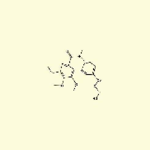 COc1cc(C(=O)N(C)c2cc[c]([Ge][O]OO)cc2)cc(OC)c1OC